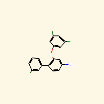 Nc1ccc(-c2cccc(F)c2)c(Oc2cc(F)cc(F)c2)c1